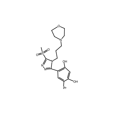 CC(C)c1cc(-c2nnc(S(C)(=O)=O)n2CCCN2CCOCC2)c(O)cc1O